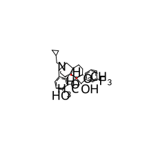 CO[C@]12CCC3(C[C@@H]1[C@](C)(O)c1cccc(F)c1)C1Cc4ccc(O)c5c4[C@@]3(CCN1CC1CC1)[C@@H]2O5